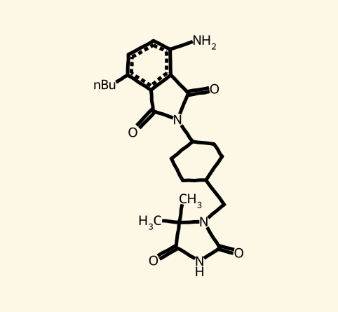 CCCCc1ccc(N)c2c1C(=O)N(C1CCC(CN3C(=O)NC(=O)C3(C)C)CC1)C2=O